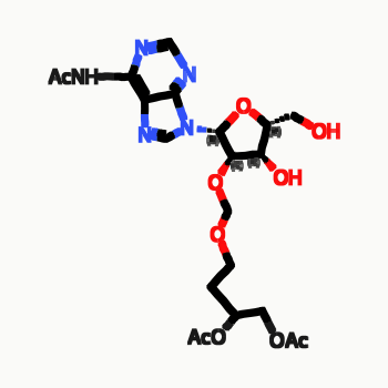 CC(=O)Nc1ncnc2c1ncn2[C@@H]1O[C@H](CO)[C@@H](O)[C@H]1OCOCCC(COC(C)=O)OC(C)=O